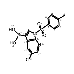 Cc1ccc(S(=O)(=O)n2cc(B(O)O)c3cc(Cl)cnc32)cc1